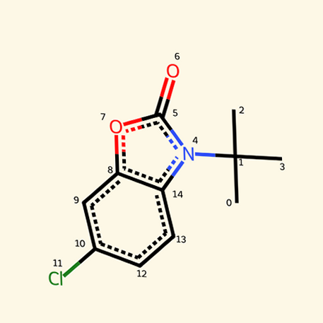 CC(C)(C)n1c(=O)oc2cc(Cl)ccc21